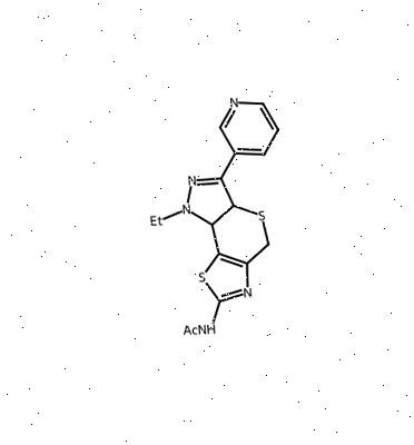 CCN1N=C(c2cccnc2)C2SCc3nc(NC(C)=O)sc3C21